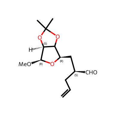 C=CC[C@H](C=O)C[C@H]1O[C@@H](OC)[C@H]2OC(C)(C)OC12